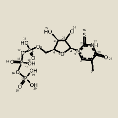 Cc1cn([C@H]2O[C@@H](COP(=O)(O)OP(=O)(O)OP(=O)(O)O)[C@@H](O)C2Cl)c(=S)[nH]c1=O